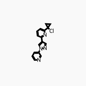 ClC1(c2cccc(-c3cnn(-c4cccnc4)c3)n2)CC1